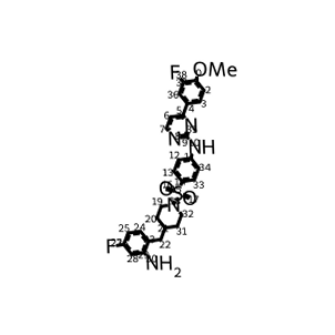 COc1ccc(-c2ccnc(Nc3ccc(S(=O)(=O)N4CCC(Cc5ccc(F)cc5N)CC4)cc3)n2)cc1F